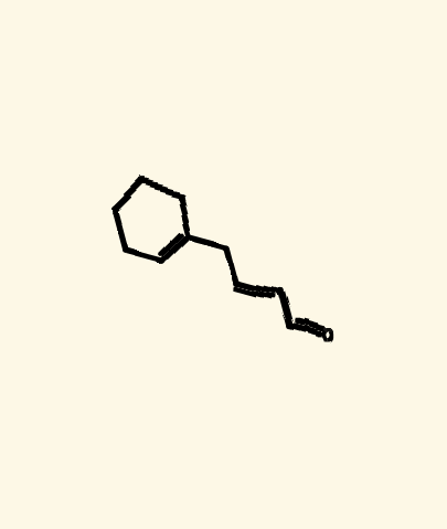 O=CC=CCC1=CCCCC1